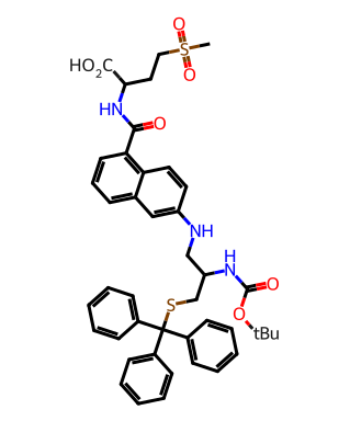 CC(C)(C)OC(=O)NC(CNc1ccc2c(C(=O)NC(CCS(C)(=O)=O)C(=O)O)cccc2c1)CSC(c1ccccc1)(c1ccccc1)c1ccccc1